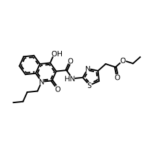 CCCCn1c(=O)c(C(=O)Nc2nc(CC(=O)OCC)cs2)c(O)c2ccccc21